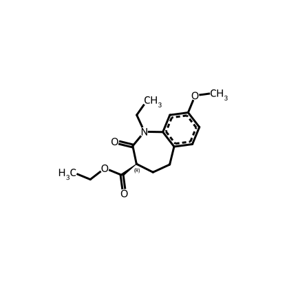 CCOC(=O)[C@@H]1CCc2ccc(OC)cc2N(CC)C1=O